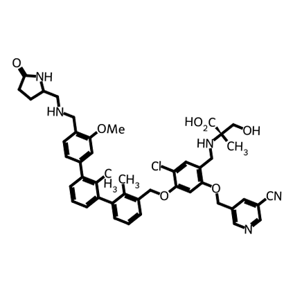 COc1cc(-c2cccc(-c3cccc(COc4cc(OCc5cncc(C#N)c5)c(CN[C@@](C)(CO)C(=O)O)cc4Cl)c3C)c2C)ccc1CNCC1CCC(=O)N1